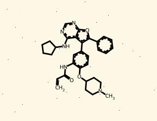 C=CC(=O)Nc1cc(-c2c(-c3ccccc3)oc3ncnc(NC4CCCC4)c23)ccc1OC1CCN(C)CC1